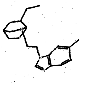 CCC1CC2CCC1N(CCn1cnc3ccc(C)cc31)C2